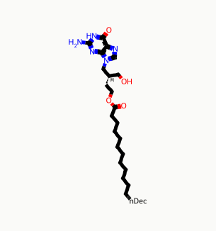 CCCCCCCCCCCCCCCCCCCCCC(=O)OCC[C@@H](CO)Cn1cnc2c(=O)[nH]c(N)nc21